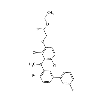 CCOC(=O)COc1ccc(Cl)c(N(C)c2cc(-c3cccc(F)c3)ccc2F)c1Cl